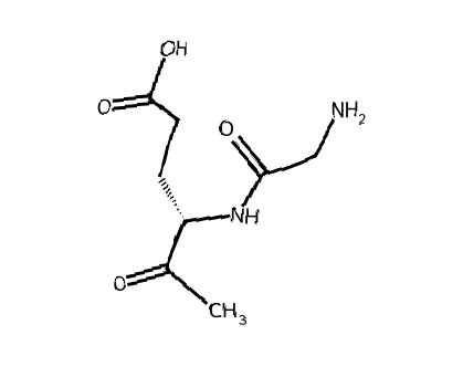 CC(=O)[C@H](CCC(=O)O)NC(=O)CN